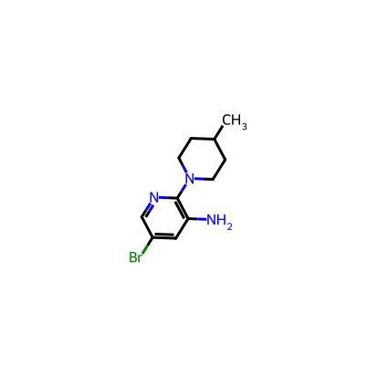 CC1CCN(c2ncc(Br)cc2N)CC1